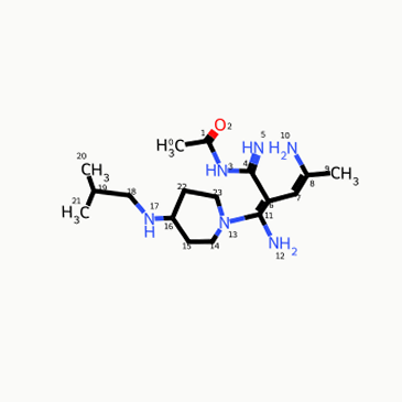 CC(=O)NC(=N)C(/C=C(/C)N)=C(/N)N1CCC(NCC(C)C)CC1